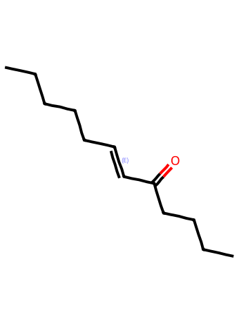 CCCCC/C=C/C(=O)CCCC